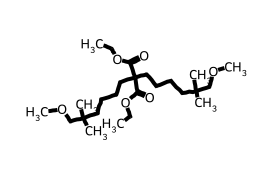 CCOC(=O)C(CCCCC(C)(C)COC)(CCCCC(C)(C)COC)C(=O)OCC